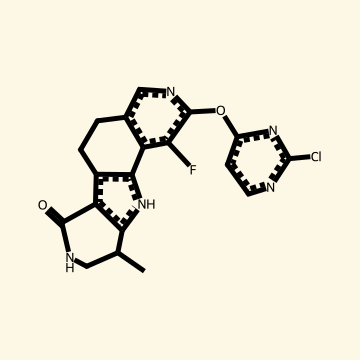 CC1CNC(=O)c2c1[nH]c1c2CCc2cnc(Oc3ccnc(Cl)n3)c(F)c2-1